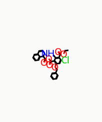 CCOC(=O)c1c(Cl)cc(OCc2ccccc2)c(C(=O)OC(=O)C2NC=Cc3ccccc32)c1C